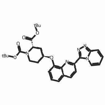 CC(C)(C)OC(=O)[C@@H]1C[C@@H](Oc2cccc3ccc(-c4nnc5ccccn45)nc23)CCN1C(=O)OC(C)(C)C